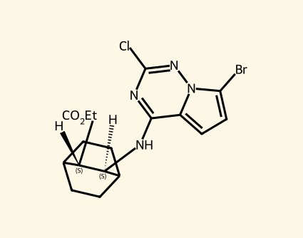 CCOC(=O)[C@H]1C2CCC(CC2)[C@@H]1Nc1nc(Cl)nn2c(Br)ccc12